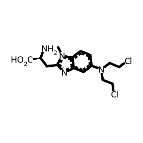 Cn1c(C[C@H](N)C(=O)O)nc2cc(N(CCCl)CCCl)ccc21